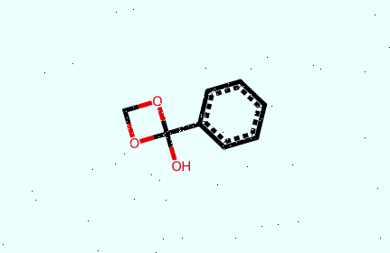 OC1(c2ccccc2)OCO1